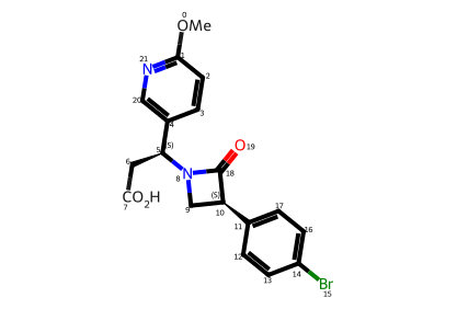 COc1ccc([C@H](CC(=O)O)N2C[C@H](c3ccc(Br)cc3)C2=O)cn1